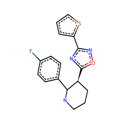 Fc1ccc(C2[N]CCC[C@@H]2c2nc(-c3cccs3)no2)cc1